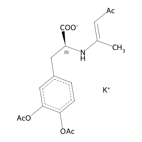 CC(=O)C=C(C)N[C@@H](Cc1ccc(OC(C)=O)c(OC(C)=O)c1)C(=O)[O-].[K+]